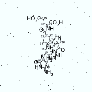 NNNC(=O)c1cccnc1.Nc1nc2ncc(CNc3ccc(C(=O)NC(CCC(=O)O)C(=O)O)cc3)nc2c(=O)[nH]1